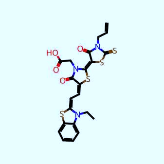 C=CCN1C(=O)C(=c2sc(=CC=C3Sc4ccccc4N3CC)c(=O)n2CC(=O)O)SC1=S